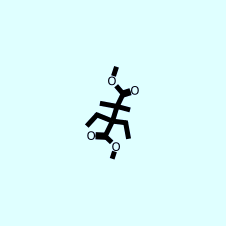 CCC(CC)(C(=O)OC)C(C)(C)C(=O)OC